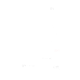 C=C(BCCCCC(C)C)CCC(C)C